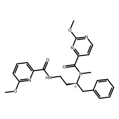 COc1cccc(C(=O)NCC[C@H](Cc2ccccc2)N(C)C(=O)c2ccnc(OC)n2)n1